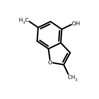 Cc1cc(O)c2cc(C)oc2c1